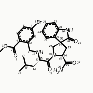 COC(=O)c1ccc(Br)cc1CN[C@@H](CC(C)C)C(=O)N1C[C@]2(C[C@H]1C(N)=O)C(=O)Nc1ccccc12